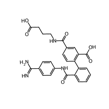 N=C(N)c1ccc(NC(=O)c2ccccc2-c2ccc(C(=O)NCCCC(=O)O)cc2C(=O)O)cc1